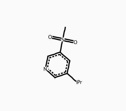 CC(C)c1[c]ncc(S(C)(=O)=O)c1